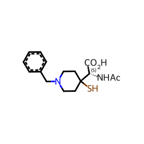 CC(=O)N[C@@H](C(=O)O)C1(S)CCN(Cc2ccccc2)CC1